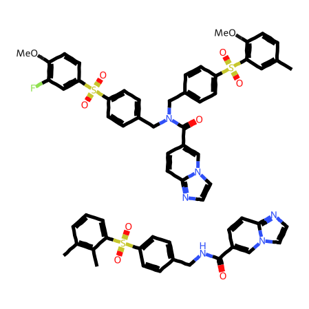 COc1ccc(S(=O)(=O)c2ccc(CN(Cc3ccc(S(=O)(=O)c4cc(C)ccc4OC)cc3)C(=O)c3ccc4nccn4c3)cc2)cc1F.Cc1cccc(S(=O)(=O)c2ccc(CNC(=O)c3ccc4nccn4c3)cc2)c1C